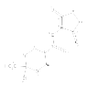 CCC1(C(=O)O)CCC(C(=O)ON2C(=O)CCC2=O)CO1